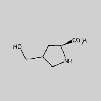 O=C(O)[C@@H]1CC(CO)CN1